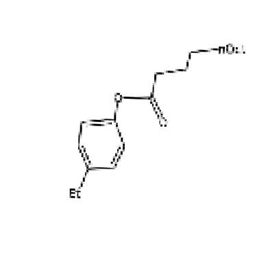 CCCCCCCCCCCC(=O)Oc1ccc(CC)cc1